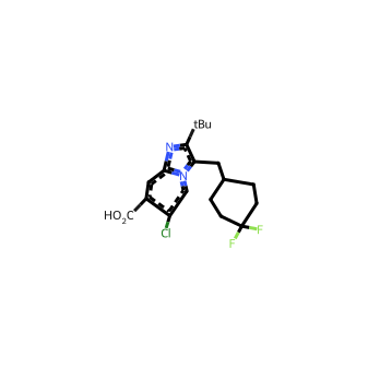 CC(C)(C)c1nc2cc(C(=O)O)c(Cl)cn2c1CC1CCC(F)(F)CC1